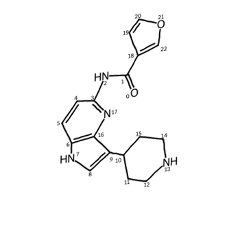 O=C(Nc1ccc2[nH]cc(C3CCNCC3)c2n1)c1ccoc1